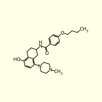 CCCCOc1ccc(C(=O)NC2CCc3c(O)ccc(N4CCN(C)CC4)c3C2)cc1